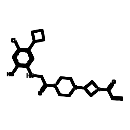 C=CC(=O)N1CC(N2CCN(C(=O)CNc3cc(C4CCC4)c(Cl)cc3O)CC2)C1